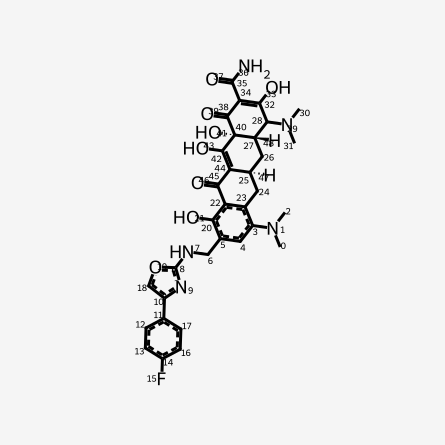 CN(C)c1cc(CNc2nc(-c3ccc(F)cc3)co2)c(O)c2c1C[C@@H]1C[C@H]3C(N(C)C)C(O)=C(C(N)=O)C(=O)[C@]3(O)C(O)=C1C2=O